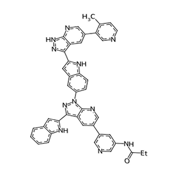 CCC(=O)Nc1cncc(-c2cnc3c(c2)c(-c2cc4ccccc4[nH]2)nn3-c2ccc3[nH]c(-c4n[nH]c5ncc(-c6cnccc6C)cc45)cc3c2)c1